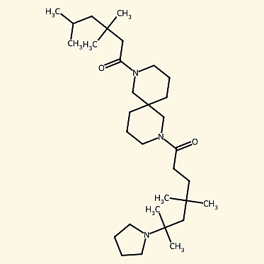 CC(C)CC(C)(C)CC(=O)N1CCCC2(CCCN(C(=O)CCC(C)(C)CC(C)(C)N3CCCC3)C2)C1